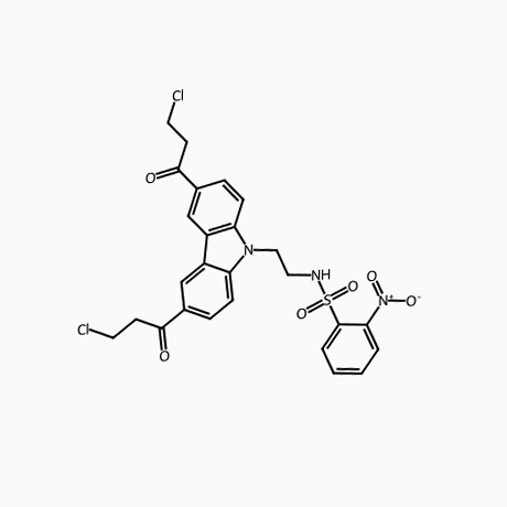 O=C(CCCl)c1ccc2c(c1)c1cc(C(=O)CCCl)ccc1n2CCNS(=O)(=O)c1ccccc1[N+](=O)[O-]